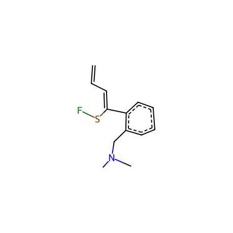 C=C/C=C(\SF)c1ccccc1CN(C)C